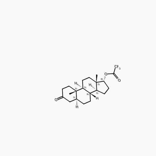 C[C@]12CCC(=O)C[C@@H]1CC[C@@H]1[C@@H]2CC[C@]2(C)[C@H](OC(=O)C(F)(F)F)CC[C@@H]12